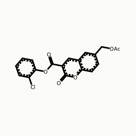 CC(=O)OCc1ccc2oc(=O)c(C(=O)Oc3ccccc3Cl)cc2c1